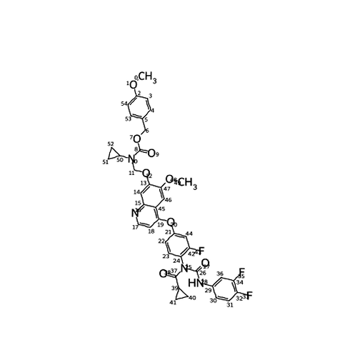 COc1ccc(COC(=O)N(COc2cc3nccc(Oc4ccc(N(C(=O)Nc5ccc(F)c(F)c5)C(=O)C5CC5)c(F)c4)c3cc2OC)C2CC2)cc1